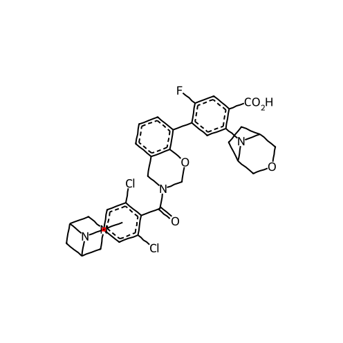 CN1CC2CC(C1)N2c1cc(Cl)c(C(=O)N2COc3c(cccc3-c3cc(N4C5CCC4COC5)c(C(=O)O)cc3F)C2)c(Cl)c1